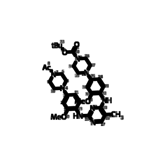 COc1cc(N2CCN(C(C)=O)CC2)ccc1Nc1ncc(C)c(Nc2ccc(N3CCN(C(=O)OC(C)(C)C)CC3)cc2OC)n1